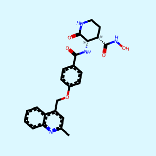 Cc1cc(COc2ccc(C(=O)N[C@@H]3C(=O)NCC[C@@H]3C(=O)NO)cc2)c2ccccc2n1